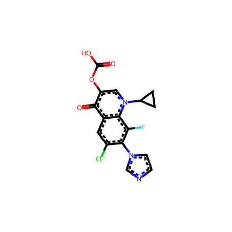 O=C(O)Oc1cn(C2CC2)c2c(F)c(-n3ccnc3)c(Cl)cc2c1=O